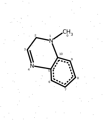 CN1CC=Nc2ccccc21